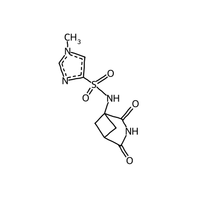 Cn1cnc(S(=O)(=O)NC23CC(C2)C(=O)NC3=O)c1